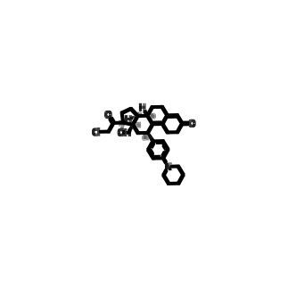 C[C@]12C[C@H](c3ccc(N4CCCCC4)cc3)C3=C4CCC(=O)C=C4CC[C@H]3[C@@H]1CC[C@]2(O)C(=O)CCl